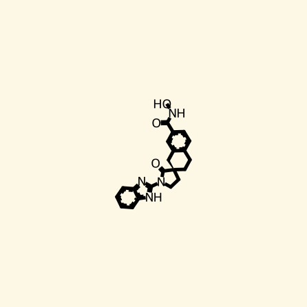 O=C(NO)c1ccc2c(c1)C[C@@]1(CC2)CCN(c2nc3ccccc3[nH]2)C1=O